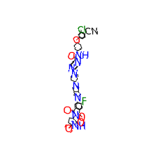 N#Cc1ccc(O[C@H]2CC[C@H](NC(=O)c3cnc(N4CCC(N5CC6CN(c7cc8c(cc7F)C(=O)N(C7CCC(=O)NC7=O)C8=O)CC6C5)CC4)cn3)CC2)cc1Cl